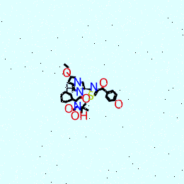 CCO[C@@H]1C[C@@H]2CN(C(=O)[C@H](C3CCCCC3)N(C(=O)O)C(C)(C)C)[C@H](c3nc(C(=O)c4ccc(OC)cc4)cs3)CN2C1